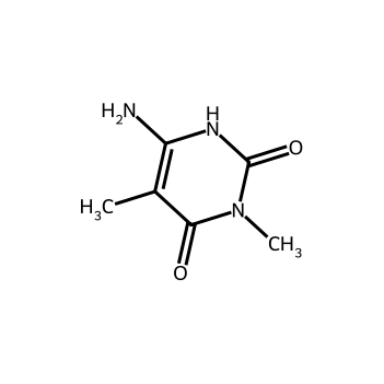 Cc1c(N)[nH]c(=O)n(C)c1=O